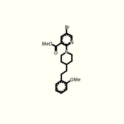 COC(=O)c1cc(Br)cnc1N1CCC(CCc2ccccc2OC)CC1